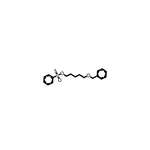 O=S(=S)(OCCCCCOCc1ccccc1)c1ccccc1